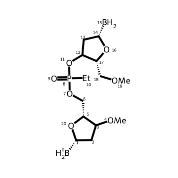 B[C@H]1CC(OC)[C@@H](COP(=O)(CC)OC2C[C@H](B)O[C@@H]2COC)O1